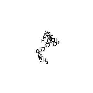 CN1CCN(C(=O)c2ccc(-c3ccc(C(c4ccccc4)C(C)(C)C(=O)Nc4nncs4)cc3)cc2)CC1